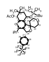 CC(=O)O[C@H]1c2nc(C(C)C)c3c(c2C(O[Si](C)(C)C(C)(C)C)CC1(C)C)C1(CCOCC1)O[C@@H]3c1ccc(S(F)(F)(F)(F)F)cc1